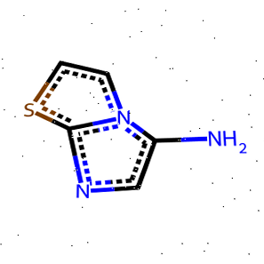 Nc1cnc2sccn12